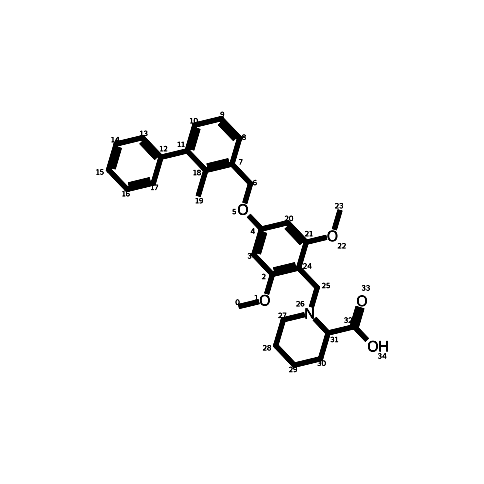 COc1cc(OCc2cccc(-c3ccccc3)c2C)cc(OC)c1CN1CCCCC1C(=O)O